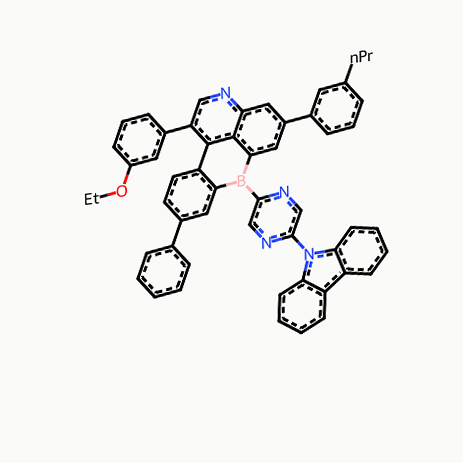 CCCc1cccc(-c2cc3c4c(c(-c5cccc(OCC)c5)cnc4c2)-c2ccc(-c4ccccc4)cc2B3c2cnc(-n3c4ccccc4c4ccccc43)cn2)c1